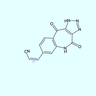 N#C/C=C\c1ccc2c(=O)c3[nH]nnc3c(=O)[nH]c2c1